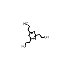 OCCc1nc(CCO)nc(CCO)n1